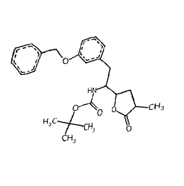 CC1CC(C(Cc2cccc(OCc3ccccc3)c2)NC(=O)OC(C)(C)C)OC1=O